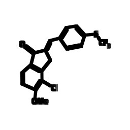 COc1ccc2c(c1Cl)CC(=Cc1ccc(SC(F)(F)F)cc1)C2=O